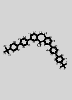 CC(C)(C)c1ccc(-c2ccc(-c3ccc4c(c3)C(=O)c3cc(-c5ccc(C6=CCC(C(C)(C)C)C=C6)cc5)ccc3CC4)cc2)cc1